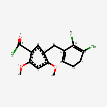 COc1cc(OC)c(C(=O)Cl)cc1CC1=CCCC(Cl)=C1F